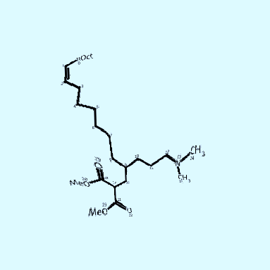 CCCCCCCC/C=C\CCCCCCC(CCCN(C)C)CC(C(=O)OC)C(=O)OC